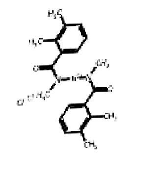 Cc1cccc(C(=O)[N](C)[Ti+2][N](C)C(=O)c2cccc(C)c2C)c1C.[Cl-].[Cl-]